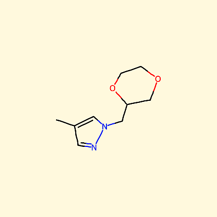 Cc1cnn(CC2COCCO2)c1